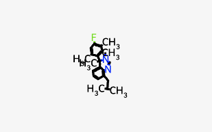 Cc1cc(C2(C)c3cccc(CC(C)C)c3N=CN2C)c(C)cc1F